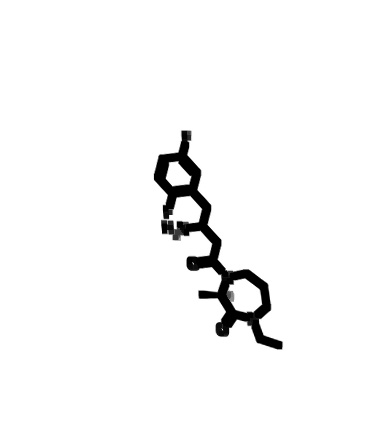 CCN1CCCN(C(=O)CC(N)Cc2cc(F)ccc2F)[C@H](C)C1=O